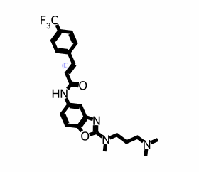 CN(C)CCCN(C)c1nc2cc(NC(=O)/C=C/c3ccc(C(F)(F)F)cc3)ccc2o1